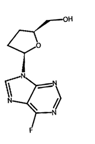 OC[C@@H]1CC[C@H](n2cnc3c(F)ncnc32)O1